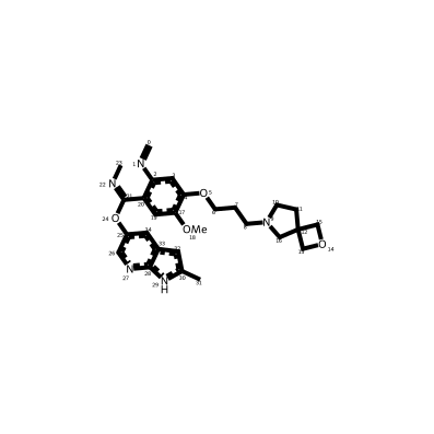 C=Nc1cc(OCCCN2CCC3(COC3)C2)c(OC)cc1/C(=N\C)Oc1cnc2[nH]c(C)cc2c1